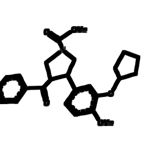 COC(=O)N1CC(C(=O)c2ccccc2)C(c2ccc(OC)c(OC3CCCC3)c2)C1